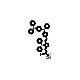 N#C/C(=C\C=C1/CCC(/C=C/c2ccc(N(c3ccccc3)c3ccc(N(c4ccccc4)c4ccccc4)cc3)cc2)=C1N(c1ccccc1)c1ccccc1)C(=O)O